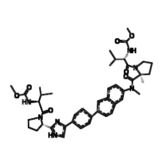 COC(=O)N[C@H](C(=O)N1CCC[C@H]1c1nc(-c2ccc(-c3ccc4cc(N(C)C(=O)[C@]5(C)CCCN5C(=O)[C@@H](NC(=O)OC)C(C)C)ccc4c3)cc2)c[nH]1)C(C)C